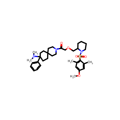 COc1cc(C)c(S(=O)(=O)N2CCCCC2COCC(=O)N2CCC3(CC2)CCC(c2ccccc2)(N(C)C)CC3)c(C)c1